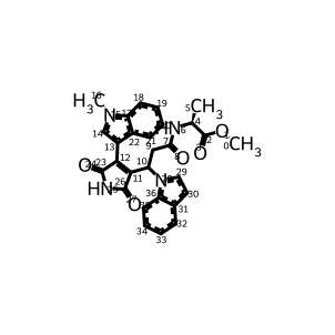 COC(=O)[C@H](C)NC(=O)CC(C1=C(c2cn(C)c3ccccc23)C(=O)NC1=O)n1ccc2ccccc21